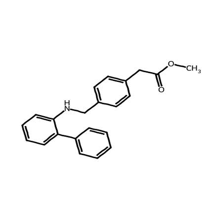 COC(=O)Cc1ccc(CNc2ccccc2-c2ccccc2)cc1